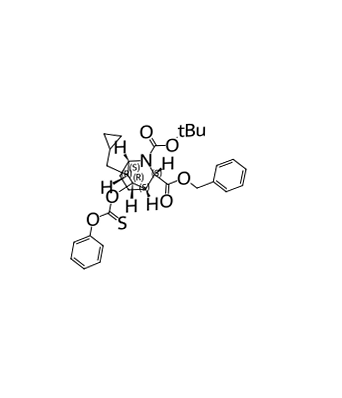 CC(C)(C)OC(=O)N1[C@H](C(=O)OCc2ccccc2)[C@@H]2CC[C@H]1[C@@H](CC1CC1)[C@H]2OC(=S)Oc1ccccc1